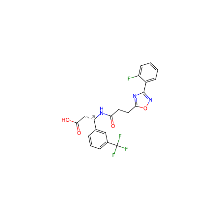 O=C(O)C[C@H](NC(=O)CCc1nc(-c2ccccc2F)no1)c1cccc(C(F)(F)F)c1